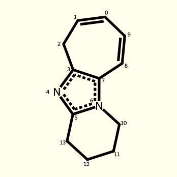 C1=CCc2nc3n(c2C=C1)CCCC3